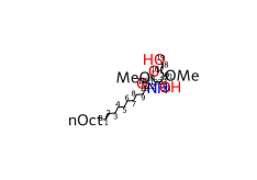 CCCCCCCC/C=C/CCCCCCCC(=O)NC1C(OC)OC(CO)C(OC)C1O